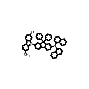 Cc1ccc2c3ccc(C)cc3n(-c3ccc4c(c3)C(c3ccccc3)(c3ccccc3)c3cc(N(c5cccc6ccccc56)c5cccc6ccccc56)ccc3-4)c2c1